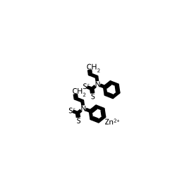 C=CCN(C(=S)[S-])c1ccccc1.C=CCN(C(=S)[S-])c1ccccc1.[Zn+2]